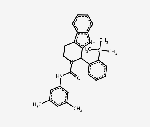 Cc1cc(C)cc(NC(=O)N2CCc3c([nH]c4ccccc34)C2c2ccccc2[Si](C)(C)C)c1